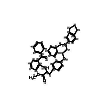 COC(=O)[C@H](Cc1ccc(OCCN(Cc2ccccc2)c2ccc3c(c2)CCC3)cc1)Nc1ccccc1C(=O)c1ccccc1